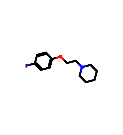 Ic1ccc(OCCN2CCCCC2)cc1